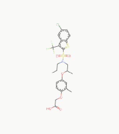 CCCN(CC(C)Oc1ccc(OCC(=O)O)c(C)c1)S(=O)(=O)c1sc2ccc(Cl)cc2c1C(F)(F)F